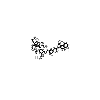 COc1cc2c(cc1OCc1cccc(CC(=O)N3C[C@@H](C)c4c3cc(O)c3ccccc43)c1)N(C(=O)O)C(OC1CCCCO1)[C@@H]1CCCCN1C2=O